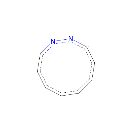 [c]1cccccccnn1